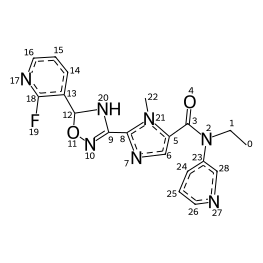 CCN(C(=O)c1cnc(C2=NOC(c3cccnc3F)N2)n1C)c1cccnc1